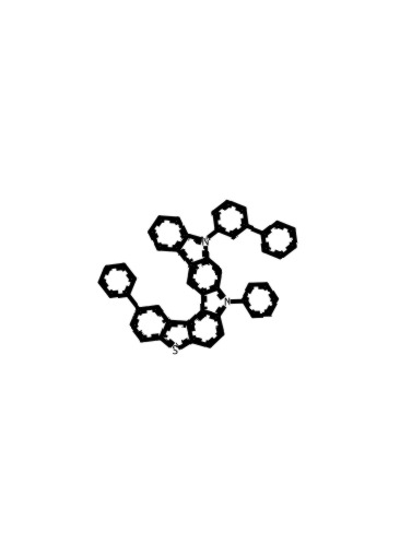 c1ccc(-c2cccc(-n3c4ccccc4c4cc5c6c7c(ccc6n(-c6ccccc6)c5cc43)sc3ccc(-c4ccccc4)cc37)c2)cc1